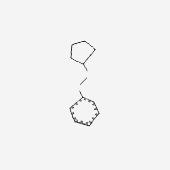 c1ccc(SSC2CCCC2)cc1